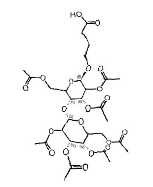 CC(=O)OCC1O[C@@H](OCCCC(=O)O)C(OC(C)=O)[C@H](OC(C)=O)[C@@H]1O[C@@H]1OC(COC(C)=O)[C@H](OC(C)=O)[C@H](OC(C)=O)C1OC(C)=O